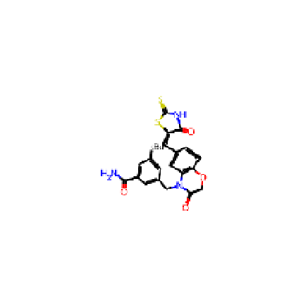 CC(C)(C)c1cc(CN2C(=O)COc3ccc(C=C4SC(=S)NC4=O)cc32)cc(C(N)=O)c1